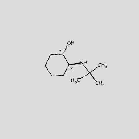 CC(C)(C)N[C@H]1CCCC[C@@H]1O